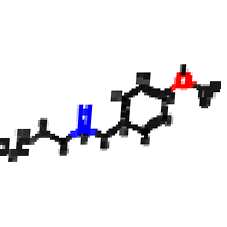 CCCOc1ccc(CNCCC(=O)O)cc1